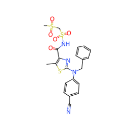 Cc1sc(N(Cc2ccccc2)c2ccc(C#N)cc2)nc1C(=O)NS(=O)(=O)CS(C)(=O)=O